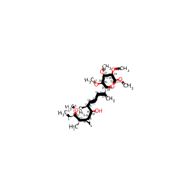 CC[C@H](OC)[C@@H](C)[C@@H]1C[C@H]1[C@H](O)[C@@H](C)/C=C/C=C(\C)[C@H]1O[C@H](OC)[C@H](OC)[C@@H](OC)[C@@H]1OC